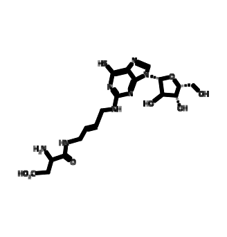 NC(CC(=O)O)C(=O)NC/C=C/CNc1nc(S)c2ncn([C@@H]3O[C@H](CO)[C@H](O)C3O)c2n1